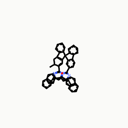 CC1CC2=C(C=C1c1nc(-c3ccccc3)cc(-c3ccccc3)n1)C1(c3ccccc32)c2ccccc2-c2ccc(-c3nc(-c4ccccc4)cc(-c4ccccc4)n3)cc21